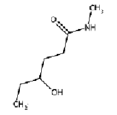 [CH2]CC(O)CCC(=O)NC